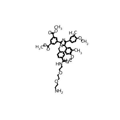 COC(=O)c1cc(C(=O)OC)cc(-c2nc(-c3ccc(OC)c(C)c3)c(-c3ccc(OC)c(C)c3)n2Cc2ccc(C(=O)NCCOCCOCCN)cc2)c1